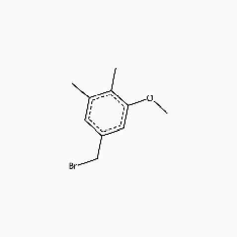 COc1cc(CBr)cc(C)c1C